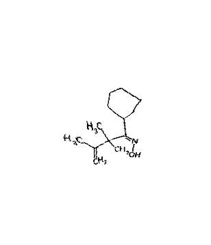 C=C(C)C(C)(C)C(=NO)C1CCCCC1